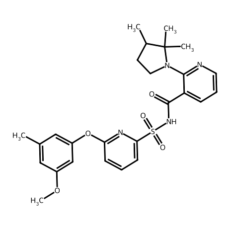 COc1cc(C)cc(Oc2cccc(S(=O)(=O)NC(=O)c3cccnc3N3CCC(C)C3(C)C)n2)c1